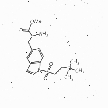 COC(=O)C(N)Cc1ccc2c(ccn2S(=O)(=O)CC[Si](C)(C)C)c1